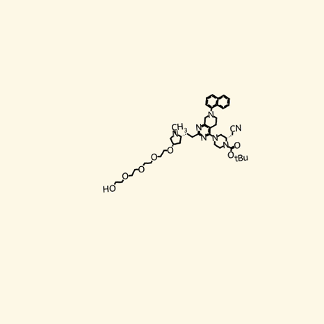 CN1C[C@H](OCCOCCOCCOCCO)C[C@H]1CCc1nc2c(c(N3CCN(C(=O)OC(C)(C)C)[C@@H](CC#N)C3)n1)CCN(c1cccc3ccccc13)C2